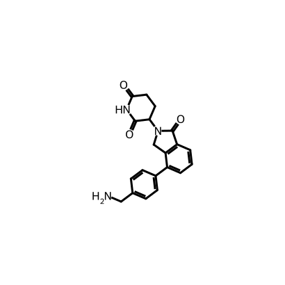 NCc1ccc(-c2cccc3c2CN(C2CCC(=O)NC2=O)C3=O)cc1